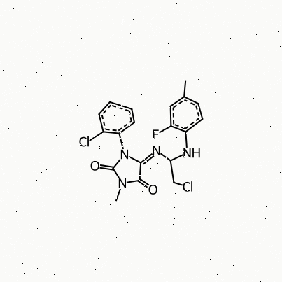 Cc1ccc(NC(CCl)N=C2C(=O)N(C)C(=O)N2c2ccccc2Cl)c(F)c1